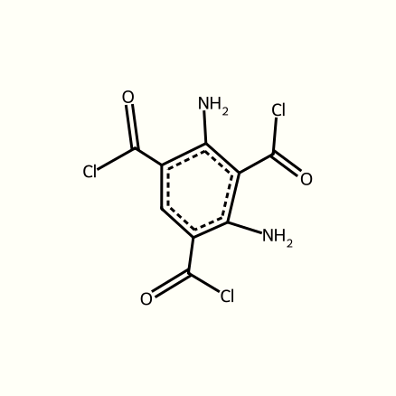 Nc1c(C(=O)Cl)cc(C(=O)Cl)c(N)c1C(=O)Cl